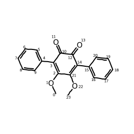 COC1=C(c2ccccc2)C(=O)C(=O)C(c2ccccc2)=C1OC